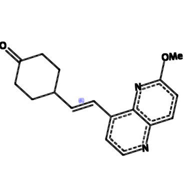 COc1ccc2nccc(/C=C/C3CCC(=O)CC3)c2n1